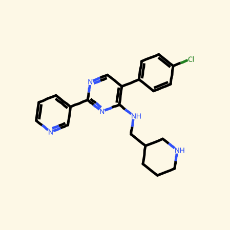 Clc1ccc(-c2cnc(-c3cccnc3)nc2NCC2CCCNC2)cc1